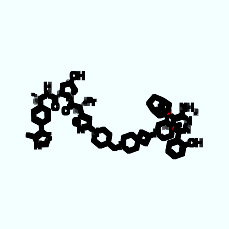 Cc1ncsc1-c1ccc([C@H](C)NC(=O)[C@@H]2C[C@@H](O)CN2C(=O)[C@@H](c2cc(N3CCC(CN4CCC5(CC4)CC(N4CCN(C)[C@H](CN6C7CCC6CN(c6cc(-c8ccccc8O)nnc6N)C7)C4)C5)CC3)no2)C(C)C)cc1